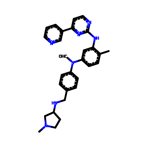 Cc1ccc(N(C=O)c2ccc(CNC3CCN(C)C3)cc2)cc1Nc1nccc(-c2cccnc2)n1